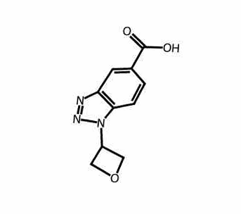 O=C(O)c1ccc2c(c1)nnn2C1COC1